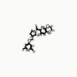 Cc1cc(OC[C@H]2CCN(C(C)c3nc4c(cc3F)OCCO4)C2)cc(C)n1